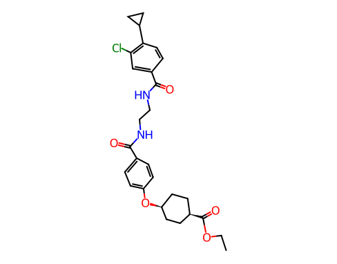 CCOC(=O)[C@H]1CC[C@@H](Oc2ccc(C(=O)NCCNC(=O)c3ccc(C4CC4)c(Cl)c3)cc2)CC1